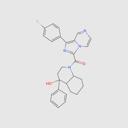 O=C(c1nc(-c2ccc(F)cc2)c2cnccn12)N1CCC(O)(c2ccccc2)C2CCCCC21